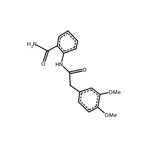 COc1ccc(CC(=O)Nc2ccccc2C(N)=O)cc1OC